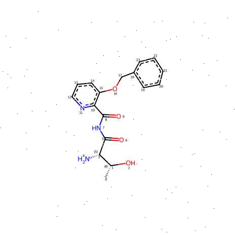 C[C@@H](O)[C@H](N)C(=O)NC(=O)c1ncccc1OCc1ccccc1